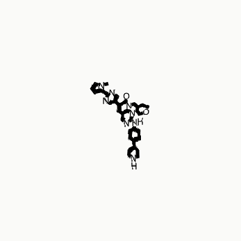 Cn1cccc1-c1ncc(-c2cc3cnc(Nc4ccc(C5=CCNCC5)cc4)nc3n(CC3CCOCC3)c2=O)cn1